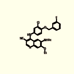 CCOc1cc2ncc(C#N)c(Nc3ccc(OCc4cccc(F)c4)c(Cl)c3)c2cc1NC(C)=O